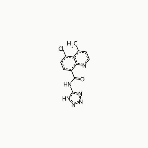 Cc1ccnc2c(C(=O)Nc3nnn[nH]3)ccc(Cl)c12